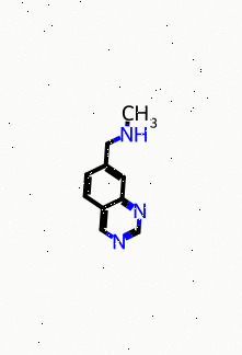 CNCc1ccc2cncnc2c1